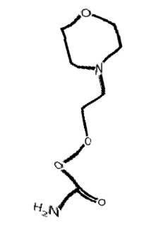 NC(=O)OOCCN1CCOCC1